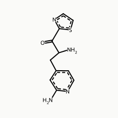 Nc1cc(CC(N)C(=O)c2nccs2)ccn1